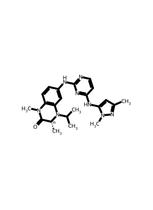 Cc1cc(Nc2ccnc(Nc3ccc4c(c3)N(C(C)C)[C@H](C)C(=O)N4C)n2)n(C)n1